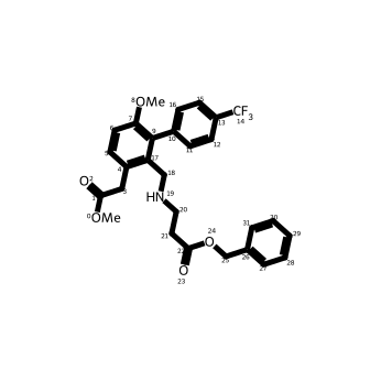 COC(=O)Cc1ccc(OC)c(-c2ccc(C(F)(F)F)cc2)c1CNCCC(=O)OCc1ccccc1